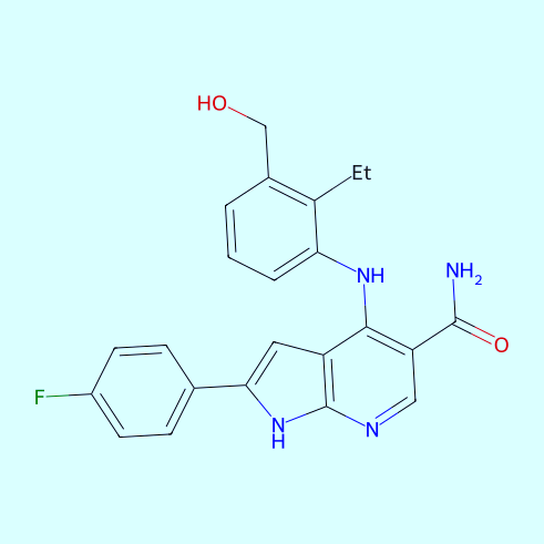 CCc1c(CO)cccc1Nc1c(C(N)=O)cnc2[nH]c(-c3ccc(F)cc3)cc12